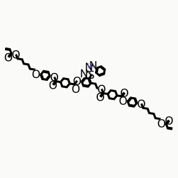 C=CC(=O)OCCCCCCOc1ccc(OC(=O)C2CCC(C(=O)OCCc3ccc(OC(=O)C4CCC(C(=O)Oc5ccc(OCCCCCCOC(=O)C=C)cc5)CC4)c4nc(/N=N\c5ccccc5)sc34)CC2)cc1